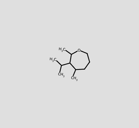 CC(C)C1C(C)CCCOC1C